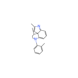 CC1=CC23C(=CC=CC2=N1)N(c1ccccc1C)CCC3C